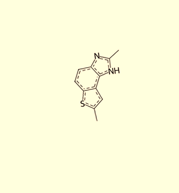 Cc1nc2ccc3sc(C)cc3c2[nH]1